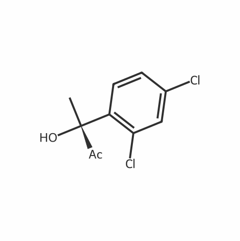 CC(=O)[C@](C)(O)c1ccc(Cl)cc1Cl